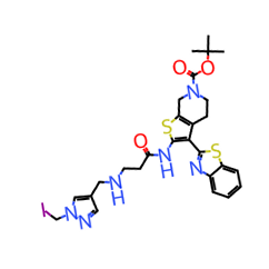 CC(C)(C)OC(=O)N1CCc2c(sc(NC(=O)CCNCc3cnn(CI)c3)c2-c2nc3ccccc3s2)C1